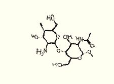 CO[C@@H]1OC(CO)[C@H](O[C@@H]2OC(CO)[C@H](C)[C@@H](O)C2N)[C@@H](O)C1NC(C)=O